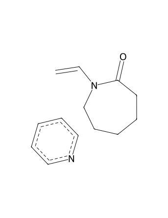 C=CN1CCCCCC1=O.c1ccncc1